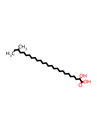 CCC(C)CCCCCCCCCCCCCCCCCCCCCC(O)C(=O)O